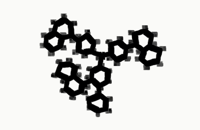 c1ccc(-c2ccc(N(c3ccc(-c4cccc5ccccc45)cc3)c3ccc(-c4cccc5ccccc45)cc3)cc2-c2cccc3ccccc23)cc1